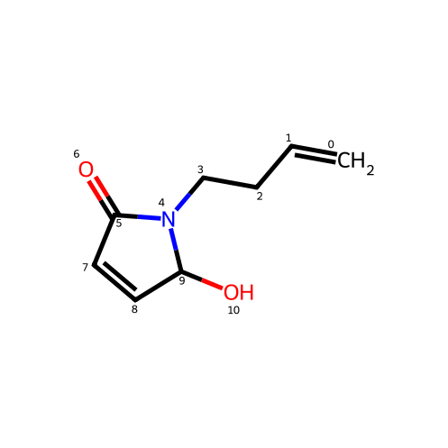 C=CCCN1C(=O)C=CC1O